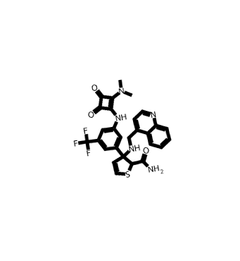 CN(C)c1c(Nc2cc(C(F)(F)F)cc(C3(NCc4ccnc5ccccc45)C=CSC3C(N)=O)c2)c(=O)c1=O